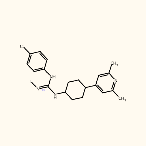 Cc1cc(C2CCC(N/C(=N/I)Nc3ccc(Cl)cc3)CC2)cc(C)n1